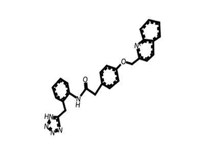 O=C(Cc1ccc(OCc2ccc3ccccc3n2)cc1)Nc1ccccc1Cc1nnn[nH]1